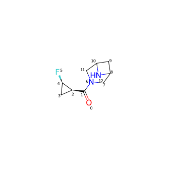 O=C([C@H]1C[C@H]1F)N1CC2CC(C1)N2